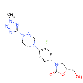 Cn1nnc(N2CCN(c3ccc(N4C[C@H](CO)OC4=O)cc3F)C=N2)n1